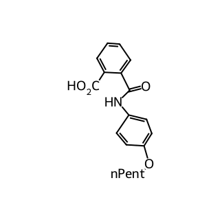 CCCCCOc1ccc(NC(=O)c2ccccc2C(=O)O)cc1